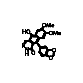 COc1cc2c(O)c3cn[nH]c(=O)c3c(-c3ccc4c(c3)OCO4)c2cc1OC